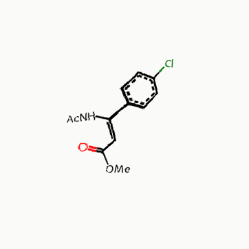 COC(=O)C=C(NC(C)=O)c1ccc(Cl)cc1